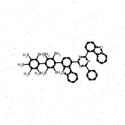 Bc1c(B)c(B)c(-c2c(B)c(B)c(-c3ccc(-c4nc(-c5ccccc5)nc(-c5cccc6oc7ccccc7c56)n4)c4c3oc3ccccc34)c(B)c2B)c(B)c1B